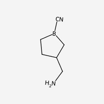 N#CB1CCC(CN)C1